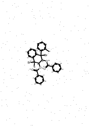 Cc1ccccc1C1(Br)c2ccccc2C(C)(Br)C(OC(=O)c2ccccc2)C1OC(=O)c1ccccc1